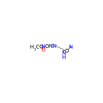 Cc1ccn(-c2ccc(N3CCN(CCCCCc4c[nH]c5ccc(C#N)cc45)CC3)cc2)c(=O)c1